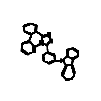 c1cc(-c2nnc3c4ccccc4c4ccccc4n23)cc(-n2c3ccccc3c3ccccc32)c1